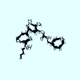 CCCCNc1nccc(-c2cc(OC(=O)NCc3cccnc3)c(=O)[nH]n2)n1